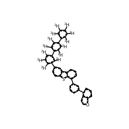 [2H]c1c([2H])c([2H])c(-c2c([2H])c([2H])c(-c3c([2H])c([2H])c([2H])c(-c4ccc5sc6c(-c7cccc(-c8cccc9occc89)c7)cccc6c5c4)c3[2H])c([2H])c2[2H])c([2H])c1[2H]